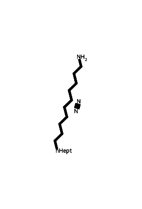 CCCCCCCCCCCCCCCCCN.N#N